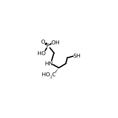 O=C(O)[C@@H](CCS)NCP(=O)(O)O